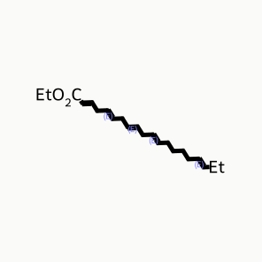 CC/C=C/CCCC/C=C/C/C=C/C/C=C/CC=CC(=O)OCC